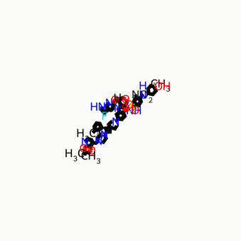 Cc1ccccc1[C@@H]1CN(Cc2ccnc3c2OCC(C)(C)O3)CCN1C1CC2(CCN(c3ccc(C(=O)NS(=O)(=O)c4ccc(NC[C@H]5CC[C@](C)(O)CC5)c([N+](=O)[O-])c4)c(N4c5cc6c(F)c[nH]c6nc5O[C@H]5COCC[C@@H]54)c3)CC2)C1